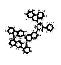 C1=CC2=C(CC1)N(c1ccc3cc(-c4nc(-c5ccccc5)nc(-c5cc6ccccc6c6ccccc56)n4)ccc3c1)C1=Cc3c(cccc3-n3c4ccccc4c4ccccc43)CC12